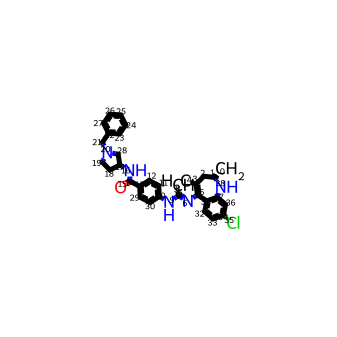 C=C1CC(C)=C(/N=C(\C)Nc2ccc(C(=O)NC3CCN(Cc4ccccc4)C3)cc2)c2ccc(Cl)cc2N1